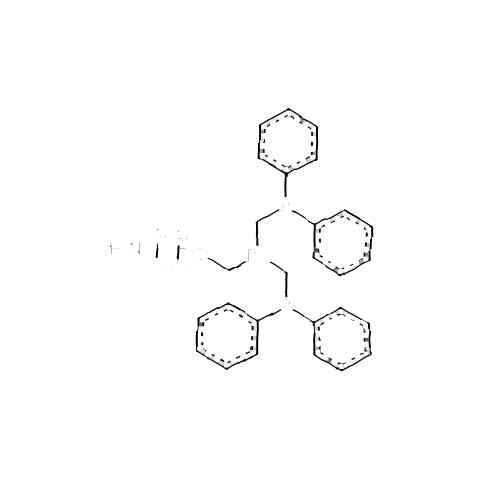 CC(=O)[O-].CC(=O)[O-].FC(F)(F)[CH2][Pd+2]([CH2]P(c1ccccc1)c1ccccc1)[CH2]P(c1ccccc1)c1ccccc1.N